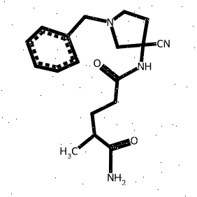 CC(C[CH]C(=O)NC1(C#N)CCN(Cc2ccccc2)C1)C(N)=O